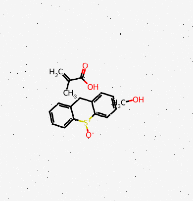 C=C(C)C(=O)O.CO.[O-][S+]1c2ccccc2Cc2ccccc21